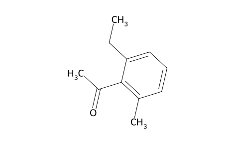 CCc1cccc(C)c1C(C)=O